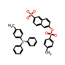 Cc1ccc(S(=O)(=O)Oc2ccc3cc(S(=O)(=O)[O-])ccc3c2)cc1.Cc1ccc([S+](c2ccccc2)c2ccccc2)cc1